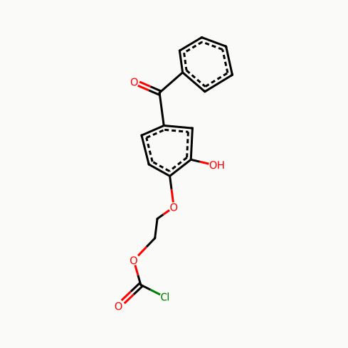 O=C(Cl)OCCOc1ccc(C(=O)c2ccccc2)cc1O